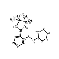 CC1(C)OB(c2ccccc2COC2CCCCO2)OC1(C)C